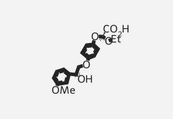 CCO[C@H](Oc1ccc(OC[C@H](O)c2cccc(OC)c2)cc1)C(=O)O